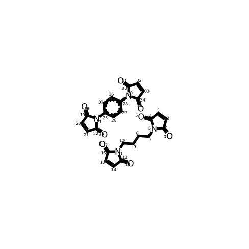 O=C1C=CC(=O)N1CCCCN1C(=O)C=CC1=O.O=C1C=CC(=O)N1c1ccc(N2C(=O)C=CC2=O)cc1